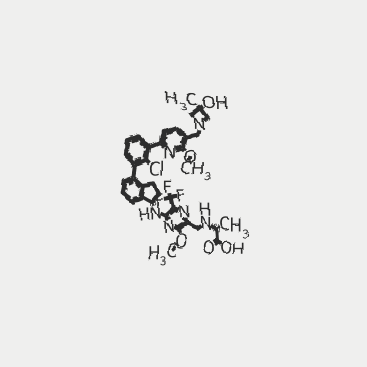 COc1nc(-c2cccc(-c3cccc4c3CC[C@@H]4Nc3nc(OC)c(CN[C@@H](C)C(=O)O)nc3C(F)(F)F)c2Cl)ccc1CN1CC(C)(O)C1